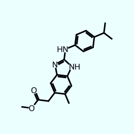 COC(=O)Cc1cc2nc(Nc3ccc(C(C)C)cc3)[nH]c2cc1C